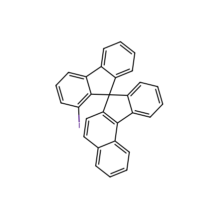 Ic1cccc2c1C1(c3ccccc3-2)c2ccccc2-c2c1ccc1ccccc21